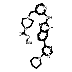 CC(C)(C)OC(=O)N1CCN(Cc2ccnc(Nc3nc4ccc(-c5cc(N6CCCCC6)ncn5)cc4[nH]3)c2)CC1